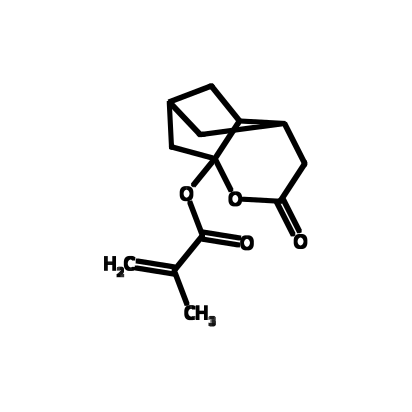 C=C(C)C(=O)OC12CC3CC(CC(=O)O1)C2C3